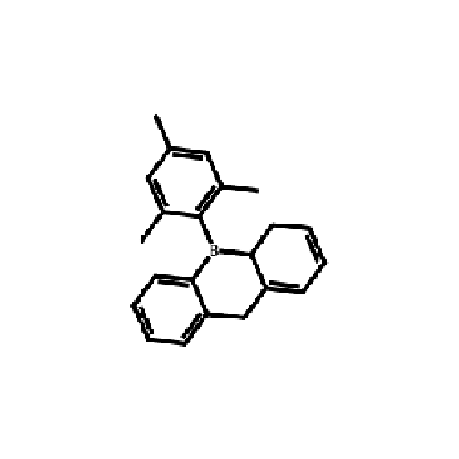 Cc1cc(C)c(B2c3ccccc3CC3=CC=CCC23)c(C)c1